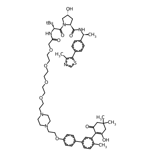 Cc1ccc(-c2ccc(OCCN3CCN(CCOCCOCCOCCOCC(=O)N[C@H](C(=O)N4C[C@H](O)C[C@H]4C(=O)N[C@@H](C)c4ccc(-c5scnc5C)cc4)C(C)(C)C)CC3)cc2)cc1C1=C(O)CC(C)(C)CC1=O